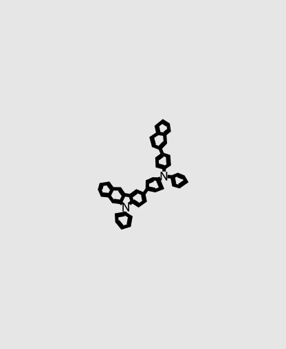 c1ccc(N(c2ccc(-c3ccc4ccccc4c3)cc2)c2ccc(-c3ccc4c(c3)c3cc5ccccc5cc3n4-c3ccccc3)cc2)cc1